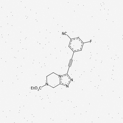 CCOC(=O)N1CCn2c(C#Cc3cc(F)cc(C#N)c3)nnc2C1